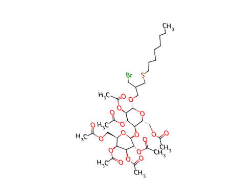 CCCCCCCCSCC(CBr)CO[C@@H]1O[C@H](COC(C)=O)[C@@H](O[C@@H]2O[C@H](COC(C)=O)[C@H](OC(C)=O)[C@H](OC(C)=O)[C@H]2OC(C)=O)[C@H](OC(C)=O)[C@H]1OC(C)=O